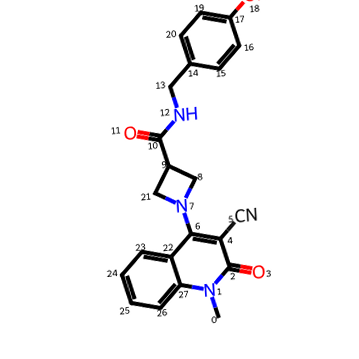 Cn1c(=O)c(C#N)c(N2CC(C(=O)NCc3ccc(O)cc3)C2)c2ccccc21